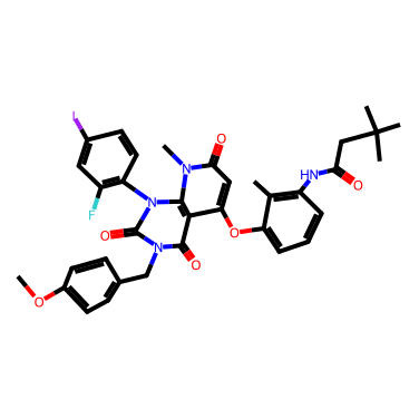 COc1ccc(Cn2c(=O)c3c(Oc4cccc(NC(=O)CC(C)(C)C)c4C)cc(=O)n(C)c3n(-c3ccc(I)cc3F)c2=O)cc1